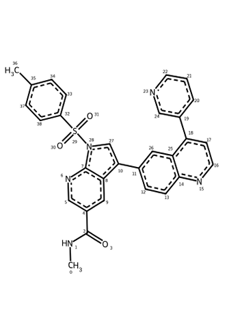 CNC(=O)c1cnc2c(c1)c(-c1ccc3nccc(-c4cccnc4)c3c1)cn2S(=O)(=O)c1ccc(C)cc1